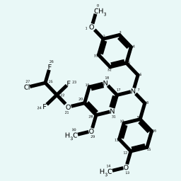 COc1ccc(CN(Cc2ccc(OC)cc2)c2ncc(OC(F)(F)C(F)Cl)c(OC)n2)cc1